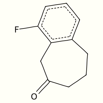 O=C1CCCc2cccc(F)c2C1